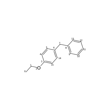 CCOc1ccc(Cc2c[c]ccc2)cc1